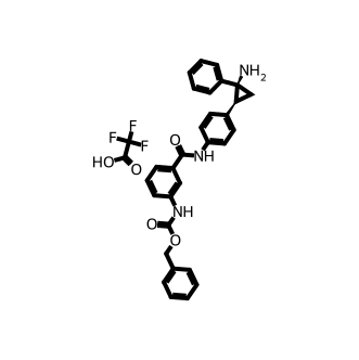 N[C@@]1(c2ccccc2)C[C@H]1c1ccc(NC(=O)c2cccc(NC(=O)OCc3ccccc3)c2)cc1.O=C(O)C(F)(F)F